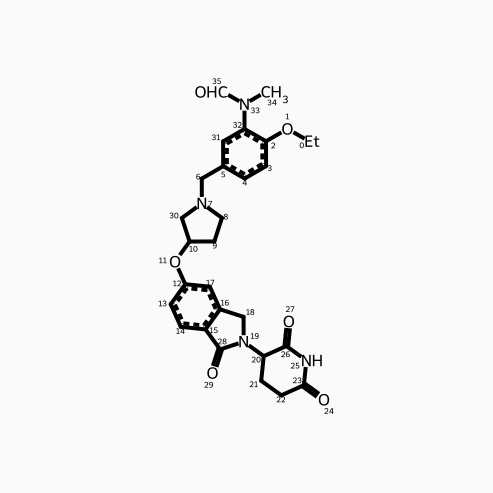 CCOc1ccc(CN2CCC(Oc3ccc4c(c3)CN(C3CCC(=O)NC3=O)C4=O)C2)cc1N(C)C=O